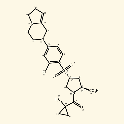 O=C(O)[C@@H]1C[C@@H](S(=O)(=O)c2ccc(N3CCN4CCC=C4C3)cc2Cl)CN1C(=O)C1(C(F)(F)F)CC1